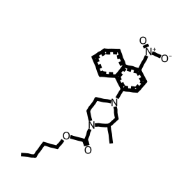 CCCCOC(=O)N1CCN(c2ccc([N+](=O)[O-])c3ccccc23)CC1C